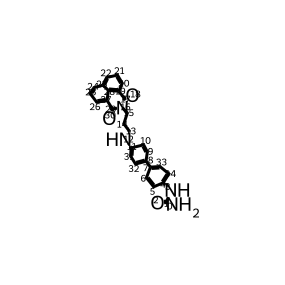 NC(=O)Nc1ccc(-c2ccc(NCCCN3C(=O)c4cccc5cccc(c45)C3=O)cc2)cc1